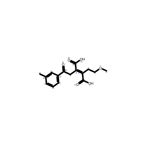 COCC/C(C(=O)O)=C(/CC(=O)c1cccc(C)c1)C(=O)O